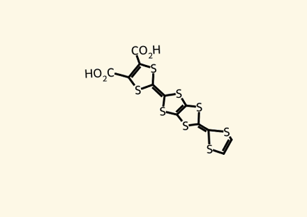 O=C(O)C1=C(C(=O)O)SC(=C2SC3=C(SC(=C4SC=CS4)S3)S2)S1